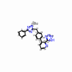 CCCCn1nc(-c2ccccc2)nc1Cc1ccc(-c2cccnc2-c2nnn[nH]2)cc1